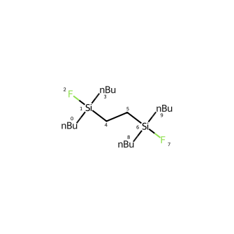 CCCC[Si](F)(CCCC)CC[Si](F)(CCCC)CCCC